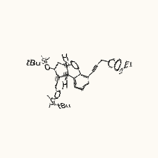 CCOC(=O)CC#Cc1cccc2c1O[C@H]1CC(O[Si](C)(C)C(C)(C)C)[C@H](CO[Si](C)(C)C(C)(C)C)[C@@H]21